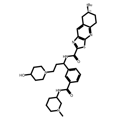 CN1CCCC(NC(=O)c2cccc(C(CCN3CCC(O)CC3)NC(=O)c3nc4cc5c(nc4s3)CC[C@H](C(C)(C)C)C5)c2)C1